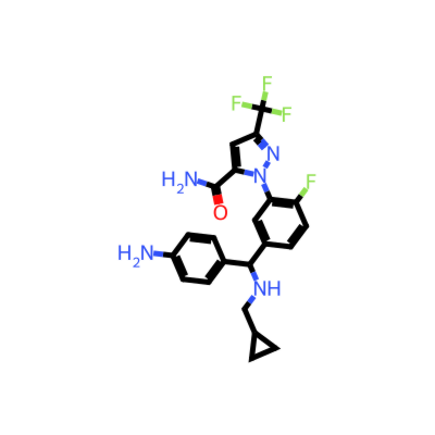 NC(=O)c1cc(C(F)(F)F)nn1-c1cc(C(NCC2CC2)c2ccc(N)cc2)ccc1F